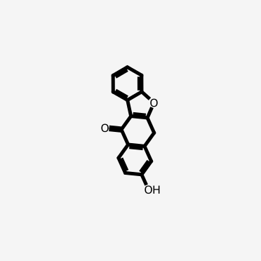 O=C1c2ccc(O)cc2Cc2oc3ccccc3c21